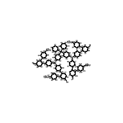 Cc1ccc(-c2ccc(N(c3ccc(-c4ccc(C)cc4-c4ccc(C(C)(C)C)cc4)cc3)c3ccc(C(c4ccccc4)(c4ccccc4)c4ccc(N(c5ccc(-c6ccc(C)cc6-c6ccc(C(C)(C)C)cc6)cc5)c5ccc(-c6ccc(C)cc6-c6ccc(C(C)(C)C)cc6)cc5)cc4)cc3)cc2)c(-c2ccc(C(C)(C)C)cc2)c1